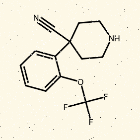 N#CC1(c2ccccc2OC(F)(F)F)CCNCC1